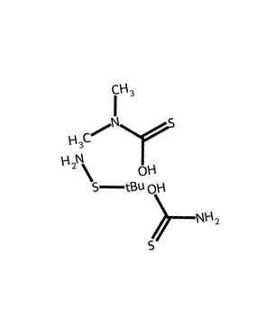 CC(C)(C)SN.CN(C)C(O)=S.NC(O)=S